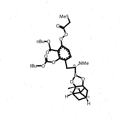 CCCCOC(=O)c1c(OOC(=O)CSC)ccc(C[C@H](NC)B2OC3C[C@@H]4C[C@@H](C4(C)C)[C@]3(C)O2)c1OC(=O)OC(C)(C)C